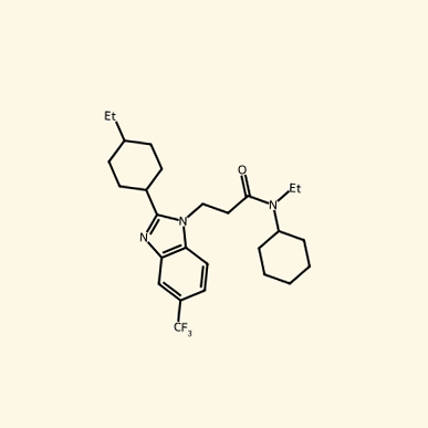 CCC1CCC(c2nc3cc(C(F)(F)F)ccc3n2CCC(=O)N(CC)C2CCCCC2)CC1